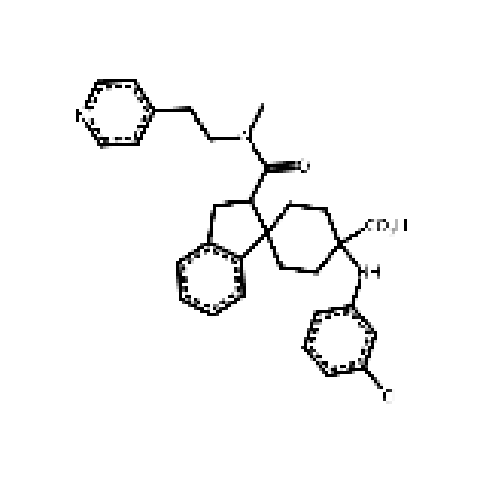 CN(CCc1ccncc1)C(=O)C1Cc2ccccc2C12CCC(Nc1cccc(Cl)c1)(C(=O)O)CC2